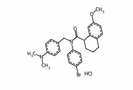 COc1ccc2c(c1)C(C(=O)N(Cc1ccc(N(C)C)cc1)c1ccc(Br)cc1)CCC2.Cl